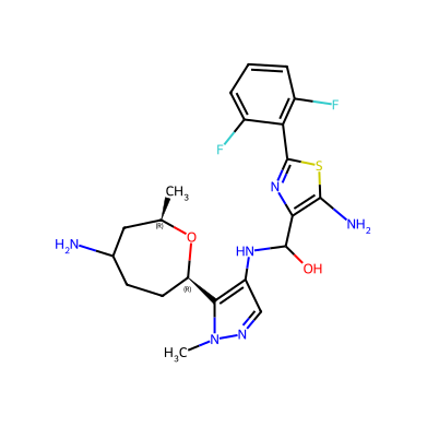 C[C@@H]1CC(N)CC[C@H](c2c(NC(O)c3nc(-c4c(F)cccc4F)sc3N)cnn2C)O1